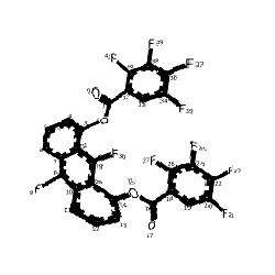 O=C(Oc1cccc2c(F)c3cccc(OC(=O)c4cc(F)c(F)c(F)c4F)c3c(F)c12)c1cc(F)c(F)c(F)c1F